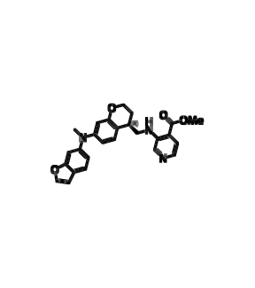 COC(=O)c1ccncc1NC[C@@H]1CCOc2cc(N(C)c3ccc4ccoc4c3)ccc21